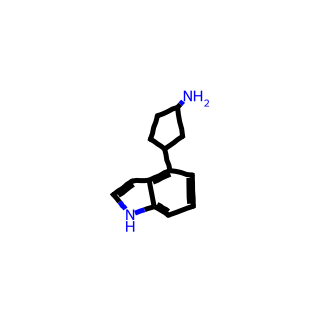 NC1CCC(c2cccc3[nH]ccc23)C1